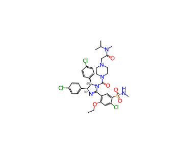 CCOc1cc(Cl)c(S(=O)(=O)NC)cc1C1=N[C@@H](c2ccc(Cl)cc2)[C@@H](c2ccc(Cl)cc2)N1C(=O)N1CCN(CC(=O)N(C)C(C)C)CC1